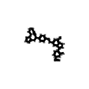 CC#CC(Cc1nnnn1CCC#N)c1ccc(OCc2cc(Cl)c3scc(-c4ccc(OC)cc4C)c3c2)cc1